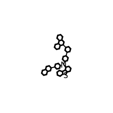 c1cc(-c2ccc(N(c3ccc(-c4ccc5ccccc5c4)cc3)c3cccc4sc5ccccc5c34)cc2)cc(-c2cc3ccccc3c3ccccc23)c1